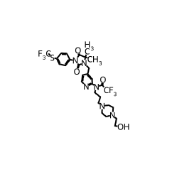 CC1(C)C(=O)N(c2ccc(SC(F)(F)F)cc2)C(=O)N1Cc1ccnc(N(CCCN2CCN(CCO)CC2)C(=O)C(F)(F)F)c1